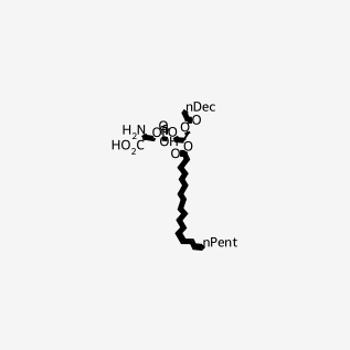 CCCCC/C=C\C/C=C\CCCCCCCCCCCC(=O)O[C@H](COC(=O)CCCCCCCCCCC)COP(=O)(O)OC[C@H](N)C(=O)O